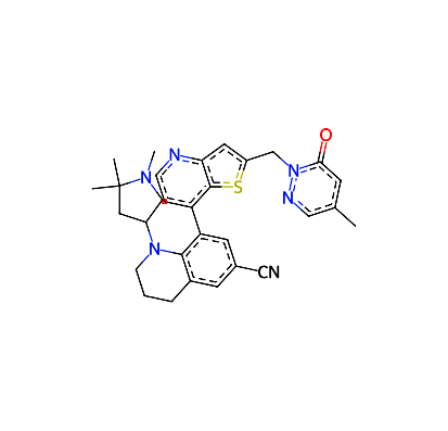 Cc1cnn(Cc2cc3nccc(-c4cc(C#N)cc5c4N(C4CN(C)C(C)(C)C4)CCC5)c3s2)c(=O)c1